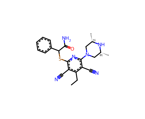 CCc1c(C#N)c(SC(C(N)=O)c2ccccc2)nc(N2C[C@@H](C)N[C@@H](C)C2)c1C#N